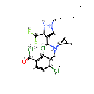 Cn1cc(CN(Cc2c(Cl)ccc(C(=O)Cl)c2Cl)C2CC2)c(C(F)F)n1